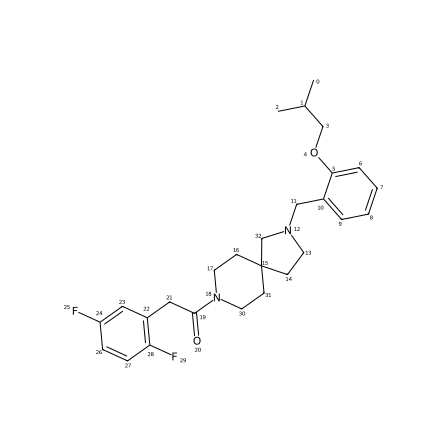 CC(C)COc1ccccc1CN1CCC2(CCN(C(=O)Cc3cc(F)ccc3F)CC2)C1